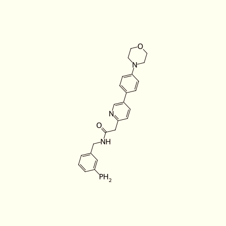 O=C(Cc1ccc(-c2ccc(N3CCOCC3)cc2)cn1)NCc1cccc(P)c1